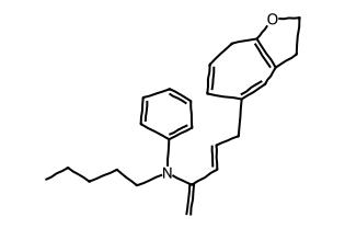 C=C(/C=C/CC1=CC2=C(CC=C1)OCC2)N(CCCCC)c1ccccc1